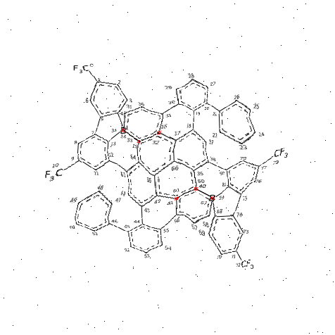 FC(F)(F)c1ccc2c(c1)-c1cc(C(F)(F)F)cc3c1B2c1cc2c(-c4c(-c5ccccc5)cccc4-c4ccccc4)cc4c5c(cc6c(-c7c(-c8ccccc8)cccc7-c7ccccc7)cc-3c1c6c25)B1c2ccc(C(F)(F)F)cc2-c2cc(C(F)(F)F)cc-4c21